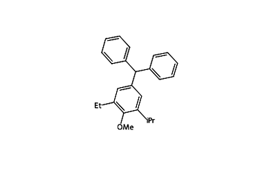 CCc1cc(C(c2ccccc2)c2ccccc2)cc(C(C)C)c1OC